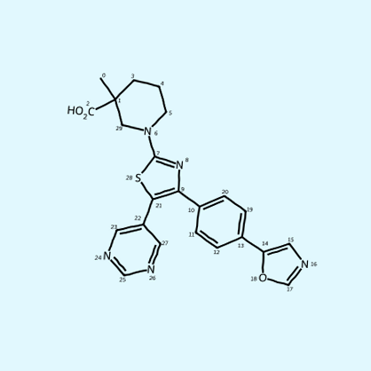 CC1(C(=O)O)CCCN(c2nc(-c3ccc(-c4cnco4)cc3)c(-c3cncnc3)s2)C1